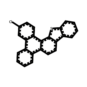 Clc1ccc2c(c1)c1ccccc1c1ccc3c4ccccc4sc3c12